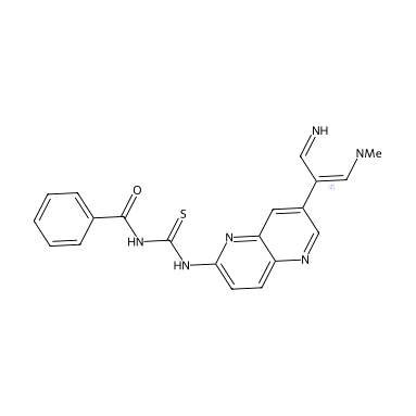 CN/C=C(\C=N)c1cnc2ccc(NC(=S)NC(=O)c3ccccc3)nc2c1